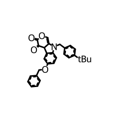 CC(C)(C)c1ccc(CN2C3=COC(=O)C(=O)C3c3cc(OCc4ccccc4)ccc32)cc1